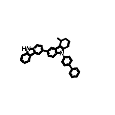 CC1CC=Cc2c1c1cc(-c3ccc4[nH]c5ccccc5c4c3)ccc1n2-c1ccc(-c2ccccc2)cc1